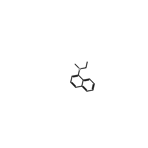 CCN(C)c1cccc2ccccc12